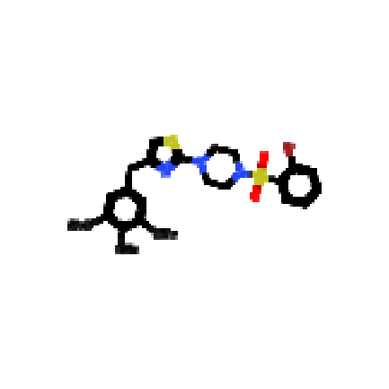 COc1cc(Cc2csc(N3CCN(S(=O)(=O)c4ccccc4Br)CC3)n2)cc(OC)c1OC